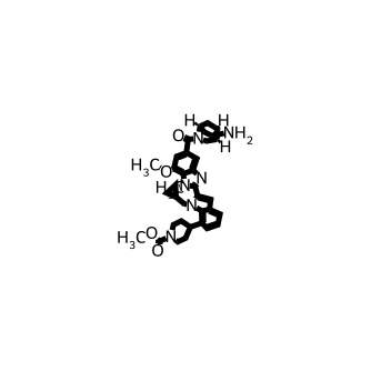 COC(=O)N1CCC(c2cccc3cc(-c4nc5cc(C(=O)N6C[C@H]7CC[C@@H]6C[C@@H]7N)cc(OC)c5n4C)n(CC4CC4)c23)CC1